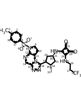 Cc1ccc(S(=O)(=O)n2ccc3c2ncc2nnc(C4C[C@@H](Nc5c(NCCC(F)(F)F)c(=O)c5=O)C[C@H]4I)n23)cc1